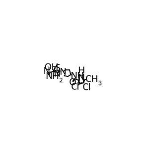 Cc1[nH]c(C(=O)NC2CCN(c3nc(/C(N)=N\O)cs3)CC2)c(Cl)c1Cl